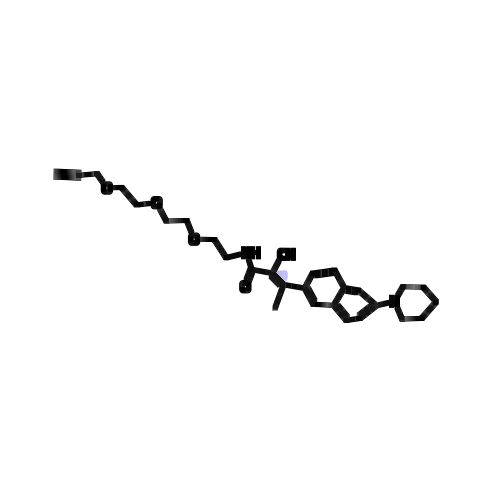 C#CCOCCOCCOCCNC(=O)/C(C#N)=C(\C)c1ccc2cc(N3CCCCC3)ccc2c1